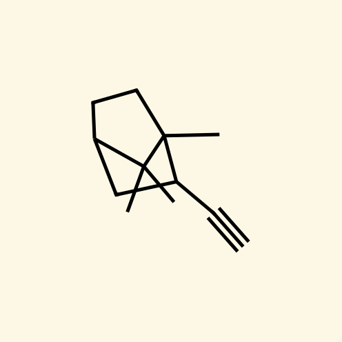 C#CC1CC2CCC1(C)C2(C)C